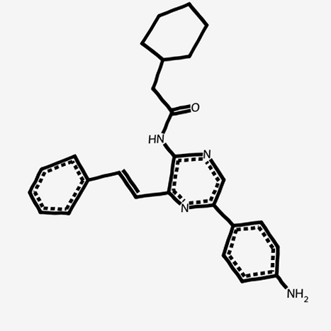 Nc1ccc(-c2cnc(NC(=O)CC3CCCCC3)c(/C=C/c3ccccc3)n2)cc1